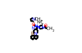 C=CC(=O)N1CCN(c2nc(OC[C@@H]3CCCN3C)nc3c2CCN(c2cccc4cccc(Br)c24)CC3)C[C@@H]1CC#N